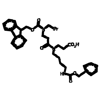 CC(C)CN(CCC(=O)N(CCCCNC(=O)OCc1ccccc1)CCC(=O)O)C(=O)OCC1c2ccccc2-c2ccccc21